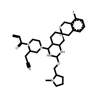 C=CC(=O)N1CCN(C2NC(OCC3CCCN3C)NC3C[C@]4(CCC32)Cc2cccc(F)c2CS4)CC1CC#N